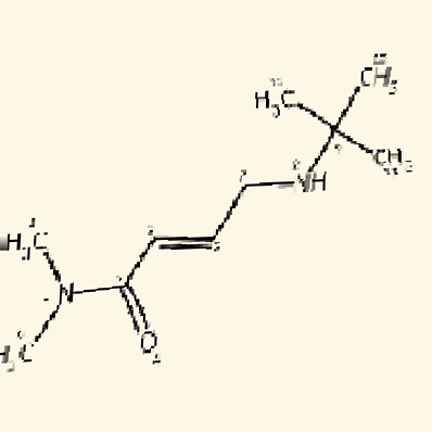 CN(C)C(=O)/C=C/CNC(C)(C)C